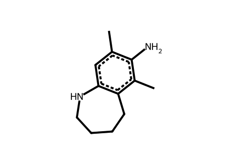 Cc1cc2c(c(C)c1N)CCCCN2